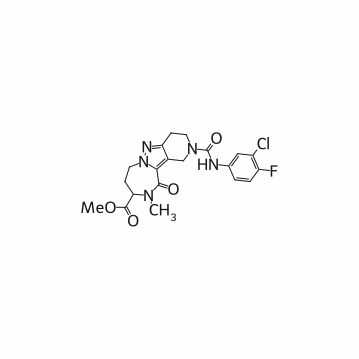 COC(=O)C1CCn2nc3c(c2C(=O)N1C)CN(C(=O)Nc1ccc(F)c(Cl)c1)CC3